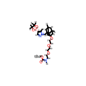 Cc1c(B2OC(C)(C)C(C)(C)O2)cnn1CC12CC3(C)CC(C)(C1)CC(OCCOCCOCCN(C)C(=O)OC(C)(C)C)(C3)C2